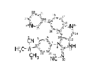 CC(C)(C#N)c1ccc(-n2c(=NC#N)[nH]c3cnc4ccc(-c5cccnc5)cc4c32)cc1